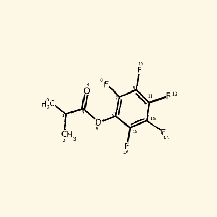 CC(C)C(=O)Oc1c(F)c(F)c(F)c(F)c1F